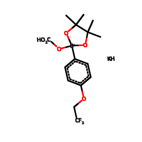 CC1(C)O[B-](OC(=O)O)(c2ccc(OCC(F)(F)F)cc2)OC1(C)C.[KH]